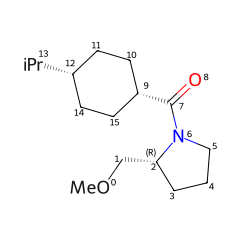 COC[C@H]1CCCN1C(=O)[C@H]1CC[C@@H](C(C)C)CC1